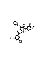 O=C(Nc1ccc(F)c(F)c1)N(CCN1CCCC1)C1CC=C(c2cc(Cl)cc(Cl)c2)CC1